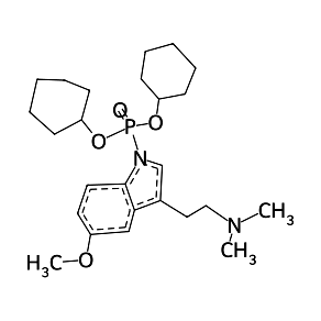 COc1ccc2c(c1)c(CCN(C)C)cn2P(=O)(OC1CCCCC1)OC1CCCCC1